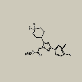 COC(=O)Cn1nc(-c2ccc(F)c(C)c2)nc1C1CCC(F)(F)CC1